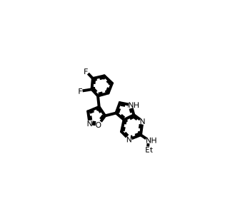 CCNc1ncc2c(-c3oncc3-c3cccc(F)c3F)c[nH]c2n1